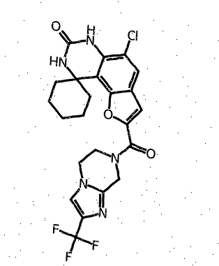 O=C1Nc2c(Cl)cc3cc(C(=O)N4CCn5cc(C(F)(F)F)nc5C4)oc3c2C2(CCCCC2)N1